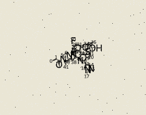 C=CC(=O)N1CCn2nc(-c3nc(-c4cnn(C)c4)c4ccsc4c3-c3c(F)cc(F)cc3OC[C@@H](C)O)cc2[C@H]1C